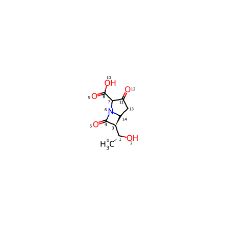 C[C@@H](O)[C@H]1C(=O)N2C(C(=O)O)C(=O)CC12